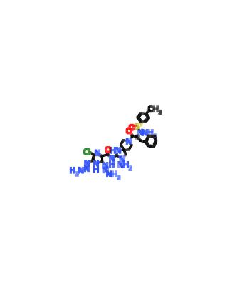 Cc1ccc([S+]([O-])N(N)[C@@H](Cc2ccccc2)C(=O)N2CCC3(CC2)CN(N)C(NC(=O)C2=NC(Cl)=C(N=NN)NC2N=NN)N3)cc1